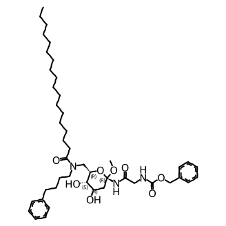 CCCCCCCCCCCCCCCCCC(=O)N(CCCCc1ccccc1)C[C@H]1O[C@](NC(=O)CNC(=O)OCc2ccccc2)(OC)C[C@@H](O)[C@@H]1O